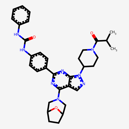 CC(C)C(=O)N1CCC(n2ncc3c(N4CC5CCC(C4)O5)nc(-c4ccc(NC(=O)Nc5ccccc5)cc4)nc32)CC1